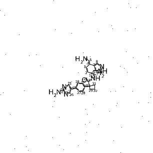 C=C(/C=C\C(=C/N)c1cn[nH]c1)NC(=O)C1(c2ccc(-c3cnc(N)nc3)cc2)CCC1